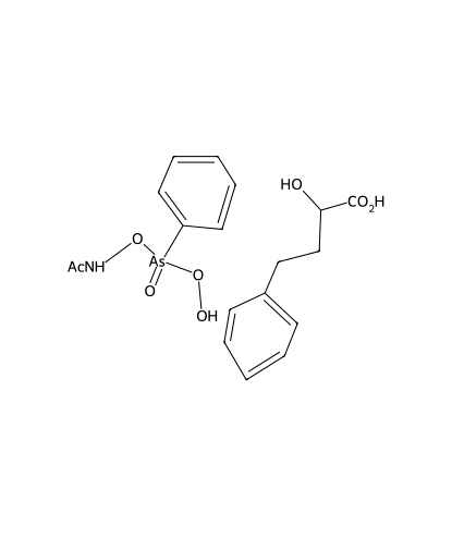 CC(=O)NO[As](=O)(OO)c1ccccc1.O=C(O)C(O)CCc1ccccc1